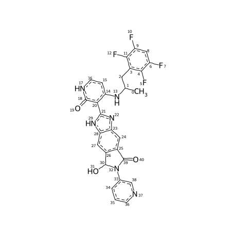 CC(Cc1c(F)c(F)cc(F)c1F)Nc1cc[nH]c(=O)c1-c1nc2cc3c(cc2[nH]1)C(O)N(c1cccnc1)C3=O